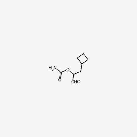 NC(=O)OC(C=O)CC1CCC1